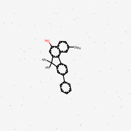 CCCC1(CCC)c2cc(-c3ccccc3)ccc2-c2c1cc(O)c1ccc(OC)cc21